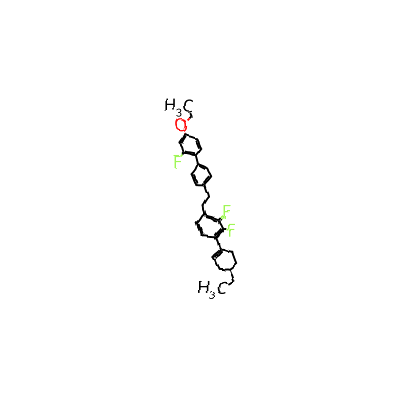 CCOc1ccc(-c2ccc(CCc3ccc(C4=CCC(CC)CC4)c(F)c3F)cc2)c(F)c1